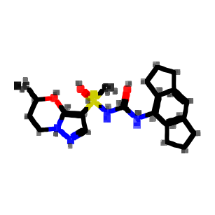 CC1CCn2ncc([SH](C)(=O)NC(=O)Nc3c4c(cc5c3CCC5)CCC4)c2O1